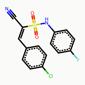 N#CC(=Cc1ccc(Cl)cc1)S(=O)(=O)Nc1ccc(F)cc1